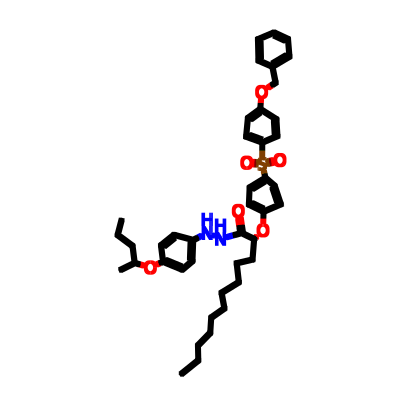 CCCCCCCCCCC(Oc1ccc(S(=O)(=O)c2ccc(OCc3ccccc3)cc2)cc1)C(=O)NNc1ccc(OC(C)CCC)cc1